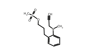 C#CCN(C)c1ccccc1CCCOS(C)(=O)=O